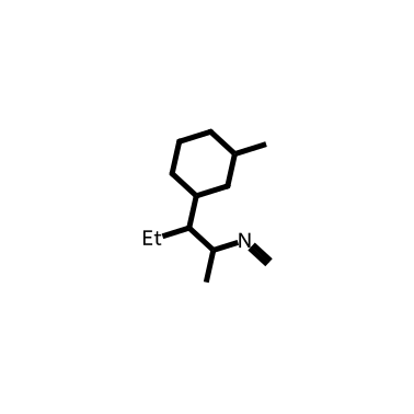 C=NC(C)C(CC)C1CCCC(C)C1